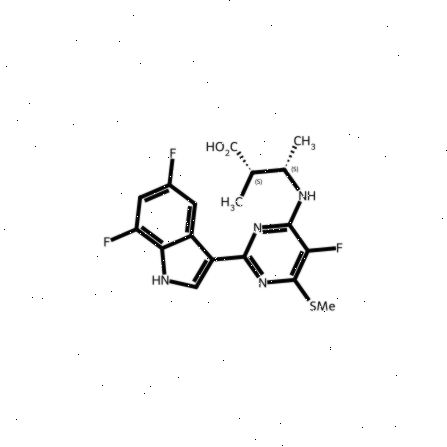 CSc1nc(-c2c[nH]c3c(F)cc(F)cc23)nc(N[C@@H](C)[C@H](C)C(=O)O)c1F